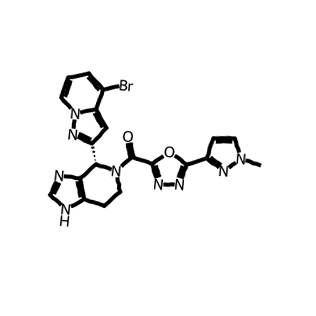 Cn1ccc(-c2nnc(C(=O)N3CCc4[nH]cnc4[C@@H]3c3cc4c(Br)cccn4n3)o2)n1